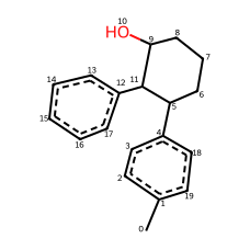 Cc1ccc(C2CCCC(O)C2c2ccccc2)cc1